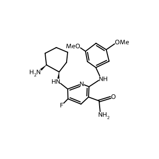 COc1cc(Nc2nc(N[C@@H]3CCCC[C@@H]3N)c(F)cc2C(N)=O)cc(OC)c1